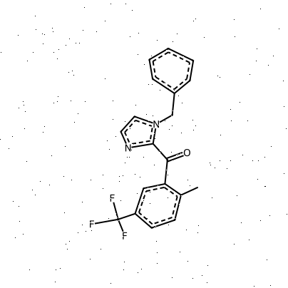 Cc1ccc(C(F)(F)F)cc1C(=O)c1nccn1Cc1ccccc1